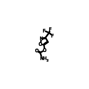 NC(=O)Oc1cc(C(F)(F)F)no1